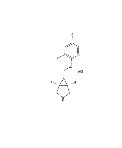 Cl.Fc1cnc(OCC2[C@H]3CNC[C@@H]23)c(F)c1